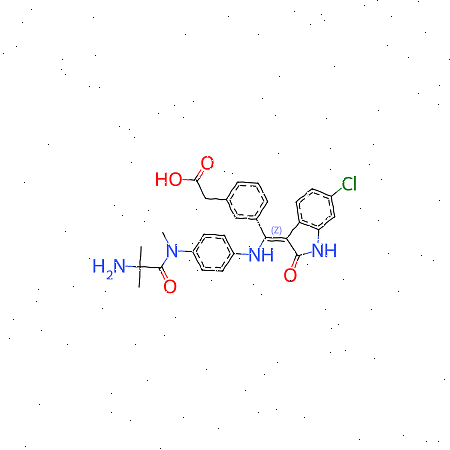 CN(C(=O)C(C)(C)N)c1ccc(N/C(=C2\C(=O)Nc3cc(Cl)ccc32)c2cccc(CC(=O)O)c2)cc1